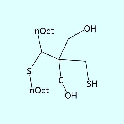 CCCCCCCCSC(CCCCCCCC)C(CO)(CO)CS